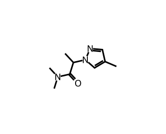 Cc1cnn(C(C)C(=O)N(C)C)c1